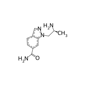 C[C@H](N)Cn1ncc2ccc(C(N)=O)cc21